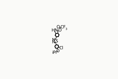 CC(C)Oc1ccc(-c2nnc(-c3ccc4c(c3)CNC4OC(=O)C(F)(F)F)s2)cc1Cl